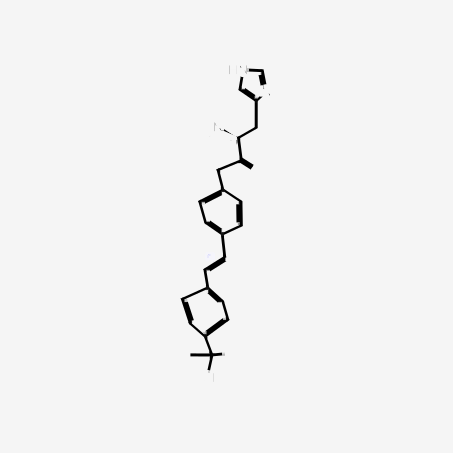 CC(F)(F)c1ccc(/C=C/c2ccc(CC(=O)[C@@H](N)Cc3c[nH]cn3)cc2)cc1